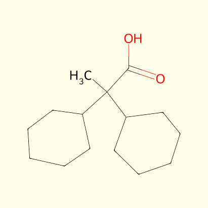 CC(C(=O)O)(C1CCCCC1)C1CCCCC1